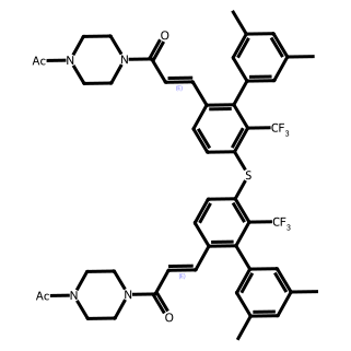 CC(=O)N1CCN(C(=O)/C=C/c2ccc(Sc3ccc(/C=C/C(=O)N4CCN(C(C)=O)CC4)c(-c4cc(C)cc(C)c4)c3C(F)(F)F)c(C(F)(F)F)c2-c2cc(C)cc(C)c2)CC1